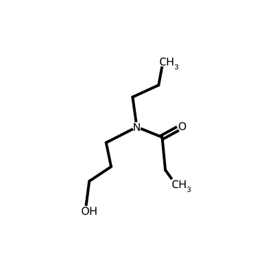 CCCN(CCCO)C(=O)CC